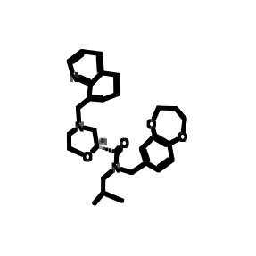 CC(C)CN(Cc1ccc2c(c1)OCCCO2)C(=O)[C@H]1CN(Cc2cccc3cccnc23)CCO1